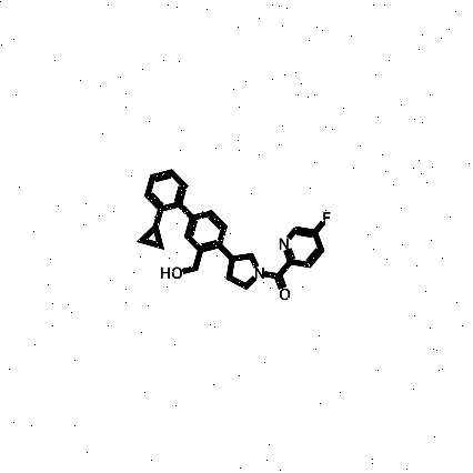 O=C(c1ccc(F)cn1)N1CCC(c2ccc(-c3ccccc3C3CC3)cc2CO)C1